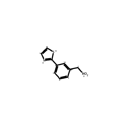 O=[N+]([O-])Cc1cccc(-c2nccs2)c1